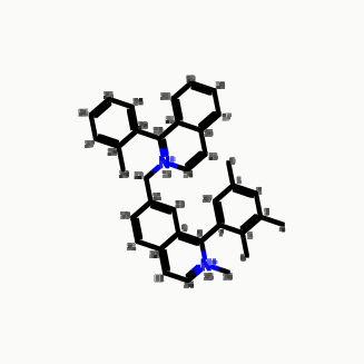 Cc1cc(C)c(C)c(-c2c3cc(C[n+]4ccc5ccccc5c4-c4ccccc4C)ccc3cc[n+]2C)c1